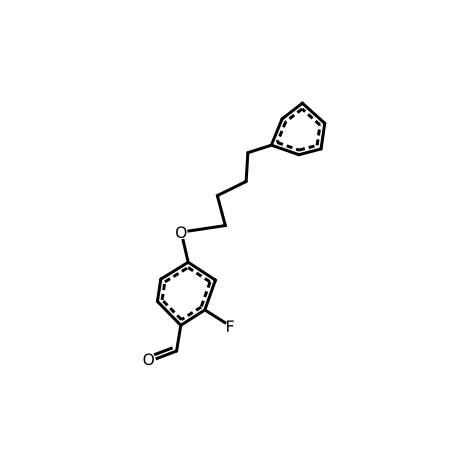 O=Cc1ccc(OCCCCc2ccccc2)cc1F